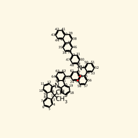 CC1(C)c2ccccc2-c2cccc(-n3c4ccccc4c4c(-c5cccc(N(c6ccc(-c7ccc8c(ccc9ccccc98)c7)cc6)c6ccccc6-c6ccccc6)c5)cccc43)c21